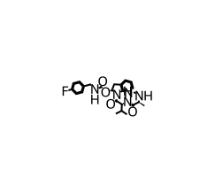 CN[C@@H](C)C(=O)N[C@H](C(=O)N1c2ncccc2C[C@@H]1OC(=O)NCc1ccc(F)cc1)C(C)C